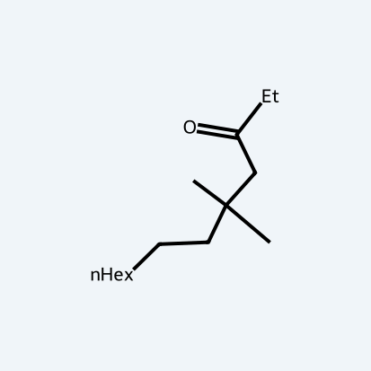 CCCCCCCCC(C)(C)CC(=O)CC